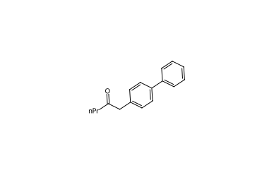 CCCC(=O)Cc1ccc(-c2ccccc2)cc1